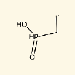 [CH2]C[PH](=O)O